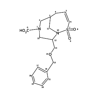 O=C(O)N1CC2CC=CS(=O)(=O)N(C2)C(COCc2ccccc2)C1